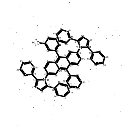 Cc1cccc(-c2c3ccc(-n4c(-c5ccccc5)ccc4-c4ccccc4)cc3c(-c3ccccc3)c3ccc(-n4c(-c5ccccc5)ccc4-c4ccccc4)cc23)c1